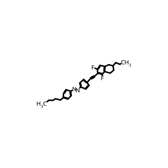 CCCCCc1ccc(N=Nc2ccc(C#Cc3c(F)cc4c(c3F)CCC(CCC)C4)cc2)cc1